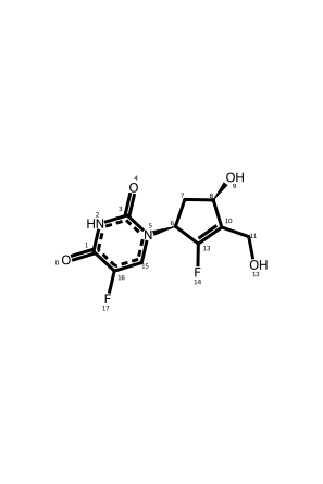 O=c1[nH]c(=O)n([C@H]2C[C@@H](O)C(CO)=C2F)cc1F